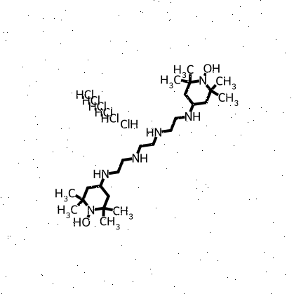 CC1(C)CC(NCCNCCNCCNC2CC(C)(C)N(O)C(C)(C)C2)CC(C)(C)N1O.Cl.Cl.Cl.Cl.Cl.Cl